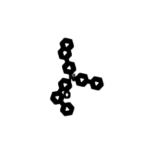 c1ccc(-c2ccc(N(c3ccc(-c4ccc5ccccc5c4)cc3)c3ccc4c(c3)oc3c(-c5ccccc5)cccc34)cc2)cc1